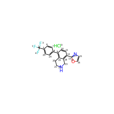 Cl.FC(F)(F)c1ccc(-c2ccc(-c3ncco3)c3c2CCNC3)cc1